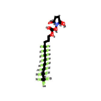 O=C(OCCCC(F)(F)C(F)(F)C(F)(F)C(F)(F)C(F)(F)C(F)(F)C(F)(F)C(F)(F)F)ON1C(=O)CCC1=O